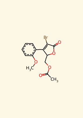 COc1ccccc1C1=C(Br)C(=O)OC1COC(C)=O